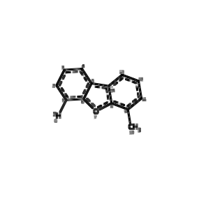 [2H]c1cccc2c1oc1c(C)cccc12